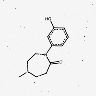 CN1CCC(=O)N(c2cccc(O)c2)CC1